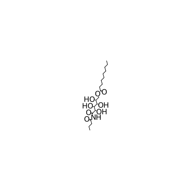 CCCCCCCCCC(=O)OCC(O)C(O)C(O)C(O)C(=O)NC(=O)CCC